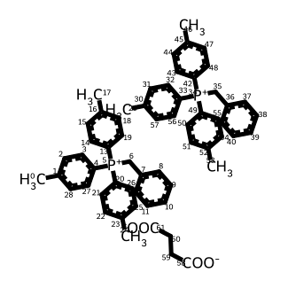 Cc1ccc([P+](Cc2ccccc2)(c2ccc(C)cc2)c2ccc(C)cc2)cc1.Cc1ccc([P+](Cc2ccccc2)(c2ccc(C)cc2)c2ccc(C)cc2)cc1.O=C([O-])CCC(=O)[O-]